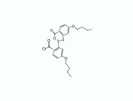 CCCCOc1ccc(C(=O)Cl)c(SSc2cc(OCCCC)ccc2C(=O)Cl)c1